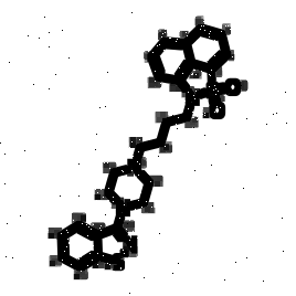 O=S1(=O)c2cccc3cccc(c23)N1CCCCN1CCN(c2nsc3ccccc23)CC1